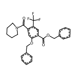 O=C(OCc1ccccc1)c1cc(C(F)(F)F)c(C(=O)N2CCCCC2)cc1OCc1ccccc1